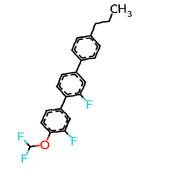 CCCc1ccc(-c2ccc(-c3ccc(OC(F)F)c(F)c3)c(F)c2)cc1